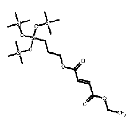 C[Si](C)(C)O[Si](CCCOC(=O)/C=C/C(=O)OCC(F)(F)F)(O[Si](C)(C)C)O[Si](C)(C)C